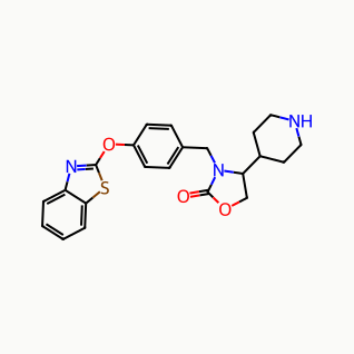 O=C1OCC(C2CCNCC2)N1Cc1ccc(Oc2nc3ccccc3s2)cc1